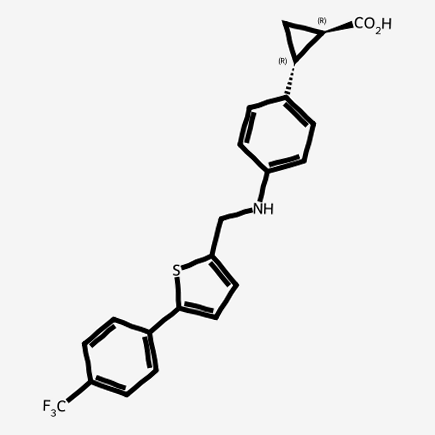 O=C(O)[C@@H]1C[C@H]1c1ccc(NCc2ccc(-c3ccc(C(F)(F)F)cc3)s2)cc1